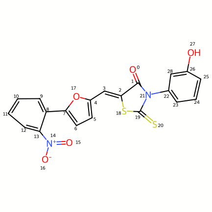 O=C1C(=Cc2ccc(-c3ccccc3[N+](=O)[O-])o2)SC(=S)N1c1cccc(O)c1